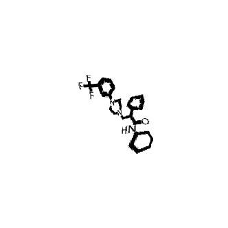 O=C(NC1CCCCC1)C(CN1CCN(c2cccc(C(F)(F)F)c2)CC1)c1ccccc1